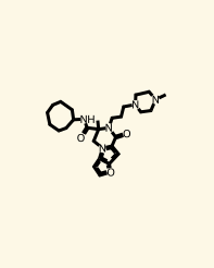 CN1CCN(CCCN2C(=O)c3cc4occc4n3CC2(C)C(=O)NC2CCCCCCC2)CC1